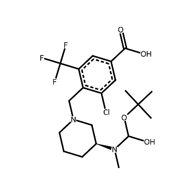 CN(C(O)OC(C)(C)C)[C@H]1CCCN(Cc2c(Cl)cc(C(=O)O)cc2C(F)(F)F)C1